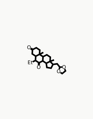 CCC1C(=O)C2C3CCC(CC4OCCO4)C3(C)CCC2C2(C)CCC(=O)CC12